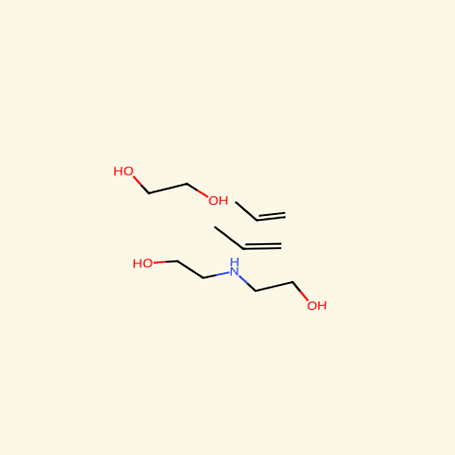 C=CC.C=CC.OCCNCCO.OCCO